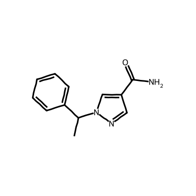 CC(c1ccccc1)n1cc(C(N)=O)cn1